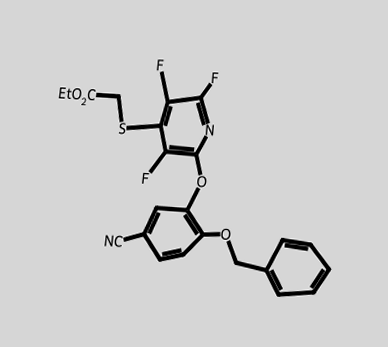 CCOC(=O)CSc1c(F)c(F)nc(Oc2cc(C#N)ccc2OCc2ccccc2)c1F